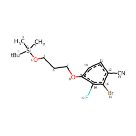 CC(C)(C)[Si](C)(C)OCCCOc1ccc(C#N)c(Br)c1F